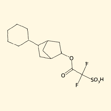 O=C(OC1CC2CC1CC2C1CCCCC1)C(F)(F)S(=O)(=O)O